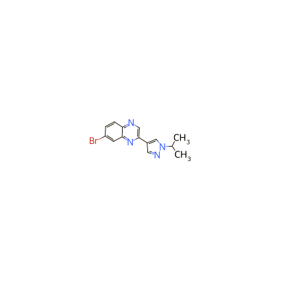 CC(C)n1cc(-c2cnc3ccc(Br)cc3n2)cn1